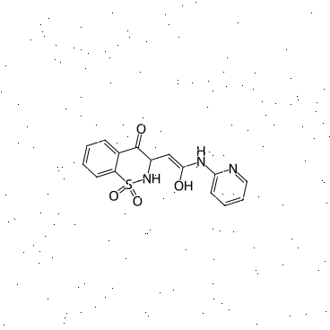 O=C1c2ccccc2S(=O)(=O)NC1/C=C(\O)Nc1ccccn1